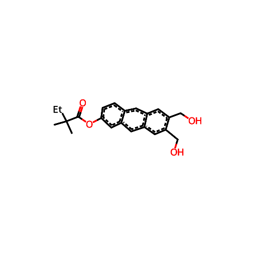 CCC(C)(C)C(=O)Oc1ccc2cc3cc(CO)c(CO)cc3cc2c1